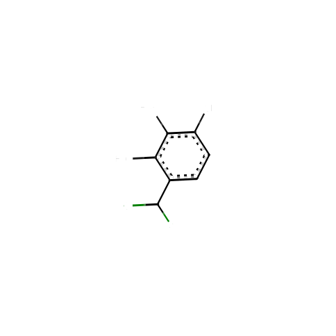 FC(F)(F)c1c[c]c(C(Cl)Cl)c(C(F)(F)F)c1C(F)(F)F